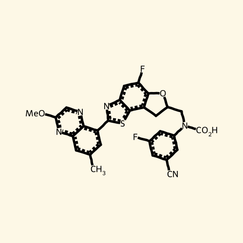 COc1cnc2c(-c3nc4cc(F)c5c(c4s3)CC(CN(C(=O)O)c3cc(F)cc(C#N)c3)O5)cc(C)cc2n1